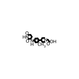 Cc1cc(NC2CCC(=O)NC2=O)ccc1C1CCN(CC(=O)O)CC1